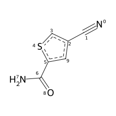 N#Cc1csc(C(N)=O)c1